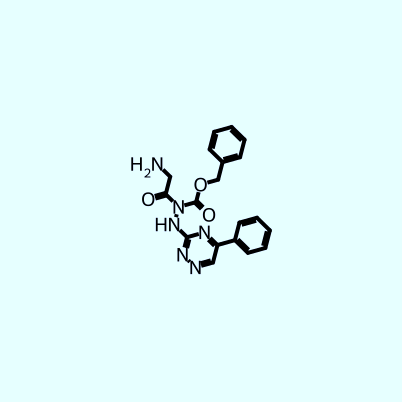 NCC(=O)N(Nc1nncc(-c2ccccc2)n1)C(=O)OCc1ccccc1